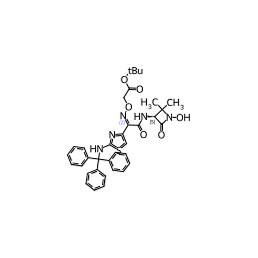 CC(C)(C)OC(=O)CO/N=C(\C(=O)N[C@@H]1C(=O)N(O)C1(C)C)c1csc(NC(c2ccccc2)(c2ccccc2)c2ccccc2)n1